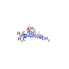 COc1cnc2c(C(=O)Nc3cc(F)c4nc(C)cn4c3)ccc(N3C[C@@H](C)N[C@@H](C)C3)c2n1